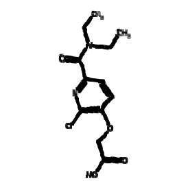 CCN(CC)C(=O)c1ccc(OCC(=O)O)c(Cl)n1